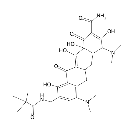 CN(C)c1cc(CNC(=O)C(C)(C)C)c(O)c2c1CC1CC3C(N(C)C)C(O)=C(C(N)=O)C(=O)C3(O)C(O)=C1C2=O